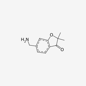 CC1(C)Oc2cc(CN)ccc2C1=O